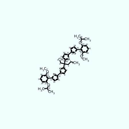 CCCC(CC)(c1ccc(-c2ccc(-c3c(OC)cccc3OC(C)C)s2)s1)c1ccc(-c2ccc(-c3c(OC)cccc3OC(C)C)s2)s1